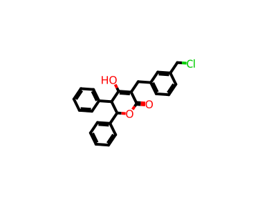 O=C1OC(c2ccccc2)C(c2ccccc2)C(O)=C1Cc1cccc(CCl)c1